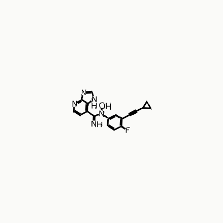 N=C(c1ccnc2nc[nH]c12)N(O)c1ccc(F)c(C#CC2CC2)c1